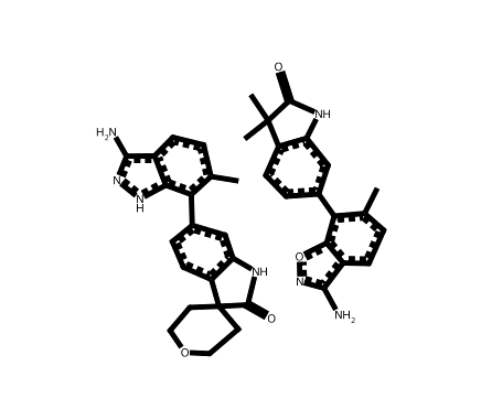 Cc1ccc2c(N)n[nH]c2c1-c1ccc2c(c1)NC(=O)C21CCOCC1.Cc1ccc2c(N)noc2c1-c1ccc2c(c1)NC(=O)C2(C)C